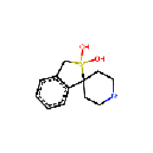 OS1(O)Cc2ccccc2C12CC[N]CC2